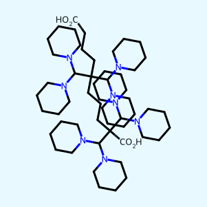 O=C(O)CCCC(CCCC(C(=O)O)(C(N1CCCCC1)N1CCCCC1)C(N1CCCCC1)N1CCCCC1)(C(N1CCCCC1)N1CCCCC1)C(N1CCCCC1)N1CCCCC1